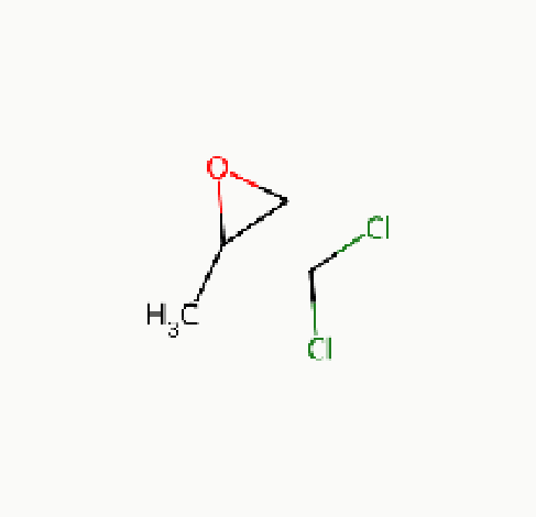 CC1CO1.ClCCl